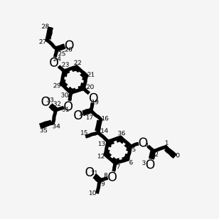 C=CC(=O)Oc1cc(OC(C)=O)cc(/C(C)=C/C(=O)Oc2ccc(OC(=O)C=C)cc2OC(=O)C=C)c1